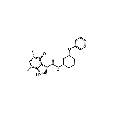 Cc1cn(C)c(=O)c2c(C(=O)NC3CCCC(Oc4ccccc4)C3)c[nH]c12